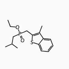 CCOP(=O)(Cc1sc2ccccc2c1C)CC(C)C